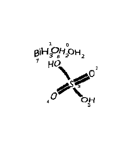 O.O.O=S(=O)(O)O.[BiH3]